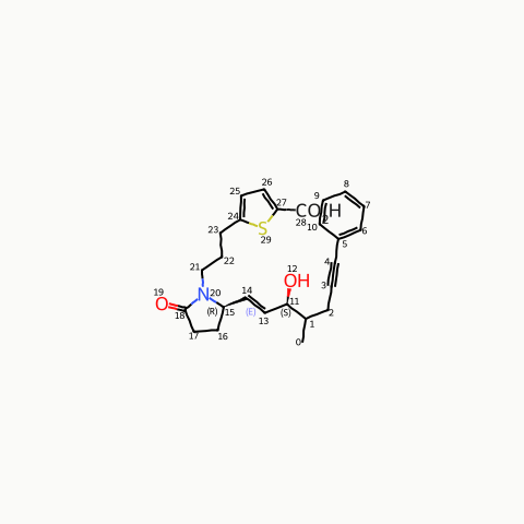 CC(CC#Cc1ccccc1)[C@H](O)/C=C/[C@H]1CCC(=O)N1CCCc1ccc(C(=O)O)s1